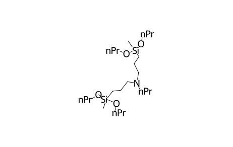 CCCO[Si](C)(CCCN(CCC)CCC[Si](C)(OCCC)OCCC)OCCC